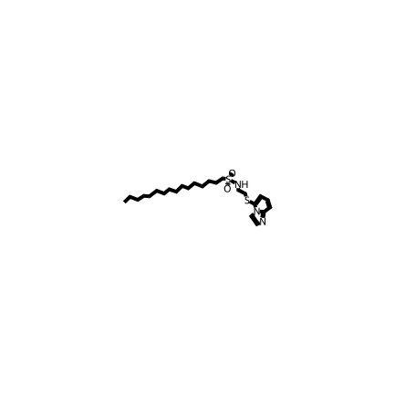 CCCCCCCCCCCCCCCCS(=O)(=O)NCCSc1cccc2nccn12